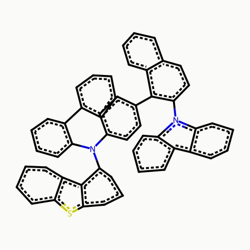 c1ccc(-c2ccccc2N(c2ccc(-c3c(-n4c5ccccc5c5ccccc54)ccc4ccccc34)cc2)c2cccc3sc4ccccc4c23)cc1